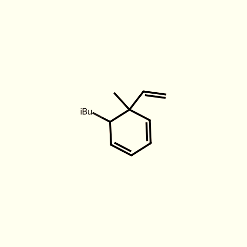 C=CC1(C)C=CC=CC1C(C)CC